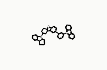 C1=CC2c3ccccc3N(C3=Cc4c(oc5ccc(-c6cccc(-n7c8ccccc8c8ccccc87)c6)cc45)CC3)C2C=C1